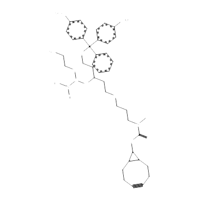 COc1ccc(C(OCCC(CCOCCCN(C)C(=O)OC2C3CCC#CCCC32)OP(OCCC#N)N(C(C)C)C(C)C)(c2ccccc2)c2ccc(OC)cc2)cc1